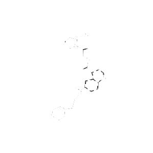 CN(CCCN1CCNCC1)c1ccc2nccc(C(=O)NCC(=O)N3CC(F)(F)C[C@H]3C#N)c2c1